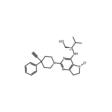 C#CC1(c2ccccc2)CCN(c2nc3c(c(N[C@@H](CO)C(C)C)n2)[S+]([O-])CC3)CC1